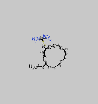 CCCC1CCCCCCCCCCCCCC1.NC(N)=S